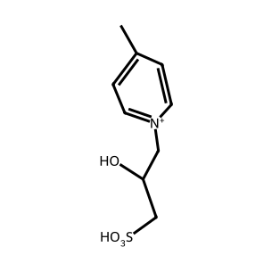 Cc1cc[n+](CC(O)CS(=O)(=O)O)cc1